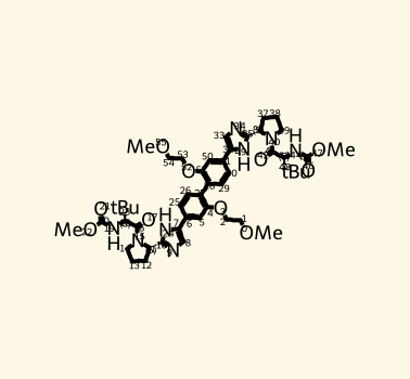 COCCOc1cc(-c2cnc([C@@H]3CCCN3C(=O)[C@@H](NC(=O)OC)C(C)(C)C)[nH]2)ccc1-c1ccc(-c2cnc([C@@H]3CCCN3C(=O)[C@@H](NC(=O)OC)C(C)(C)C)[nH]2)cc1OCCOC